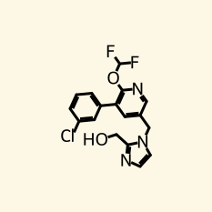 OCc1nccn1Cc1cnc(OC(F)F)c(-c2cccc(Cl)c2)c1